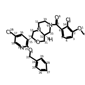 COc1cccc(C(=O)N2CCN3C[C@@H](c4cc(Cl)cnc4OCc4ccccc4)OC[C@@H]3C2)c1Cl